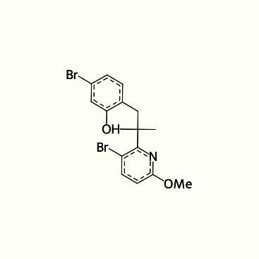 COc1ccc(Br)c(C(C)(C)Cc2ccc(Br)cc2O)n1